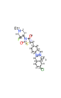 CCN1CC[C@H](N2C(=O)S/C(=C\c3ccc4c(cnn4Cc4ccc(Cl)cc4C(F)(F)F)c3)C2=O)[C@@H](F)C1